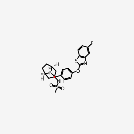 CS(=O)(=O)NC1C[C@H]2CC[C@@H](C1)N2Cc1ccc(Oc2nc3cc(F)ccc3s2)cc1